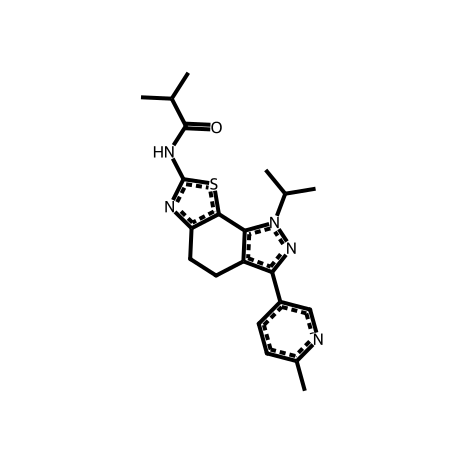 Cc1ccc(-c2nn(C(C)C)c3c2CCc2nc(NC(=O)C(C)C)sc2-3)cn1